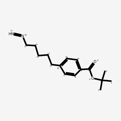 CC(C)(C)OC(=O)c1ccc(CCCCCN=N)cc1